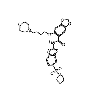 O=C(Nc1nc2ccc(S(=O)(=O)N3CCCC3)cc2s1)c1cc2c(cc1OCCCCN1CCOCC1)OCO2